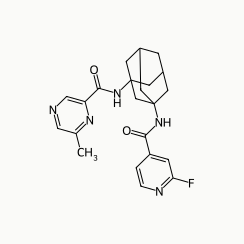 Cc1cncc(C(=O)NC23CC4CC(CC(NC(=O)c5ccnc(F)c5)(C4)C2)C3)n1